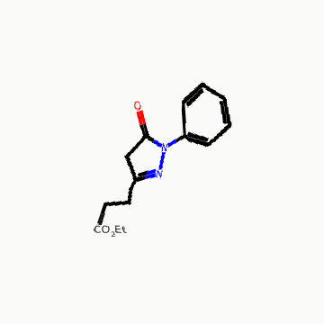 CCOC(=O)CCC1=NN(c2ccccc2)C(=O)C1